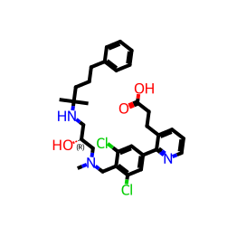 CN(Cc1c(Cl)cc(-c2ncccc2CCC(=O)O)cc1Cl)C[C@H](O)CNC(C)(C)CCCc1ccccc1